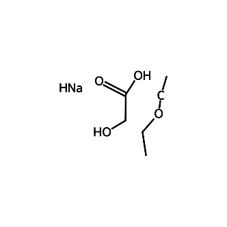 CCOCC.O=C(O)CO.[NaH]